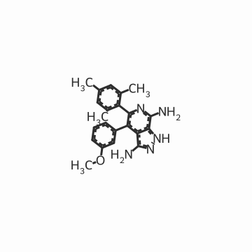 COc1cccc(-c2c(-c3c(C)cc(C)cc3C)nc(N)c3[nH]nc(N)c23)c1